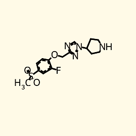 CS(=O)(=O)c1ccc(OCc2ncn(C3CCNCC3)n2)c(F)c1